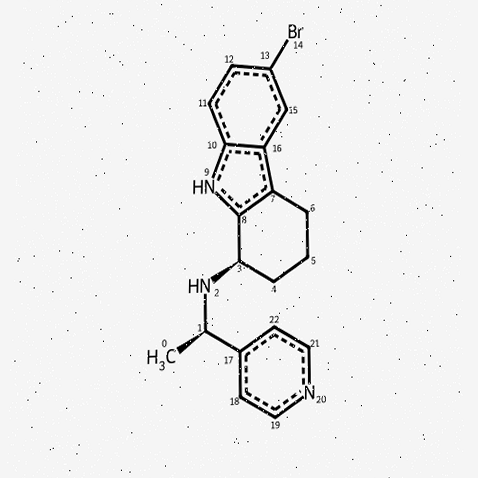 C[C@@H](N[C@@H]1CCCc2c1[nH]c1ccc(Br)cc21)c1ccncc1